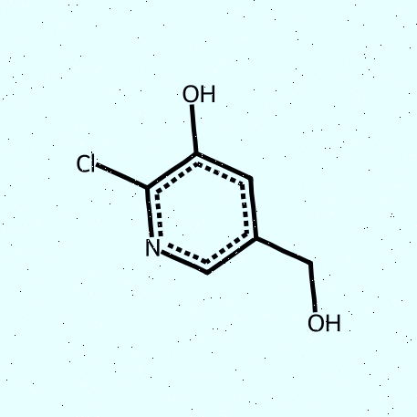 OCc1cnc(Cl)c(O)c1